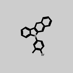 Cc1cc(-n2c3c(c4ccccc42)CC2C=CC=CC2=C3)ccc1Br